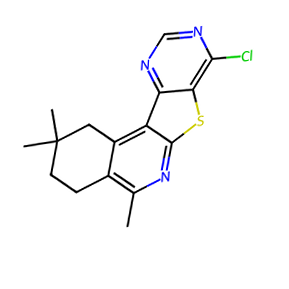 Cc1nc2sc3c(Cl)ncnc3c2c2c1CCC(C)(C)C2